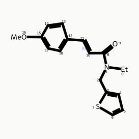 CCN(Cc1cccs1)C(=O)/C=C/c1ccc(OC)cc1